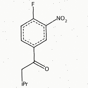 CC(C)CC(=O)c1ccc(F)c([N+](=O)[O-])c1